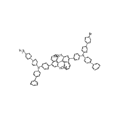 Bc1ccc(-c2ccc(N(c3ccc(-c4ccccc4)cc3)c3ccc(-c4cc(CCCCCCCC)c(-c5c(CCCCCCCC)cc(-c6ccc(N(c7ccc(-c8ccccc8)cc7)c7ccc(-c8ccc(Br)cc8)cc7)cc6)c6ccccc56)c5ccccc45)cc3)cc2)cc1